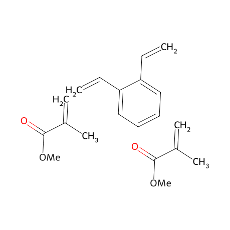 C=C(C)C(=O)OC.C=C(C)C(=O)OC.C=Cc1ccccc1C=C